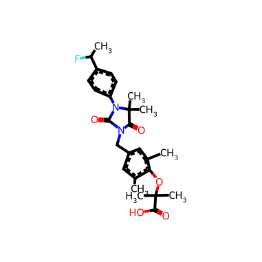 Cc1cc(CN2C(=O)N(c3ccc(C(C)F)cc3)C(C)(C)C2=O)cc(C)c1OC(C)(C)C(=O)O